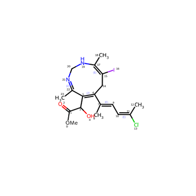 COC(=O)C(O)C1=C(\C(C)=C\C=C(/C)Cl)C/C(I)=C(/C)NC/N=C\1C